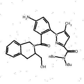 CCCCN(CCCC)C(=O)c1cc(C)n(-c2ccc(N)cc2C(=O)N2Cc3ccccc3CC2CO)n1